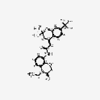 CCN1C(=O)COc2c(NC(=O)/C=C3\CC(C)(C)Oc4cc(C(F)(F)F)ccc43)cccc21